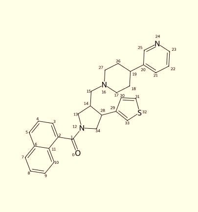 O=C(c1cccc2ccccc12)N1CC(CN2CCC(c3cccnc3)CC2)C(c2ccsc2)C1